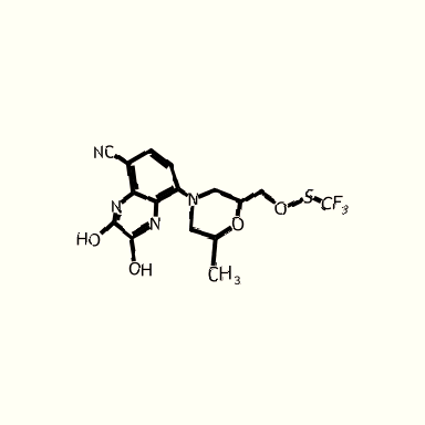 CC1CN(c2ccc(C#N)c3nc(O)c(O)nc23)CC(COSC(F)(F)F)O1